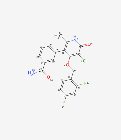 Cc1[nH]c(=O)c(Cl)c(OCc2ccc(F)cc2F)c1-c1cccc(C(N)=O)c1